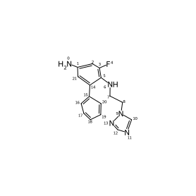 Nc1cc(F)c(NCCn2cncn2)c(-c2ccccc2)c1